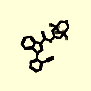 N#Cc1ccccc1-n1cc(C(=O)OC2C[C@H]3COC[C@@H](C2)N3)c2ccccc21